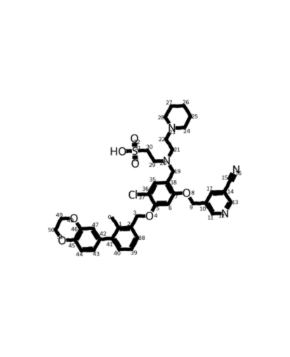 Cc1c(COc2cc(OCc3cncc(C#N)c3)c(CN(CCN3CCCCC3)CCS(=O)(=O)O)cc2Cl)cccc1-c1ccc2c(c1)OCCO2